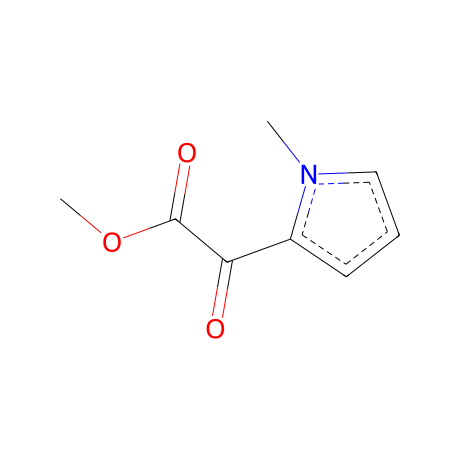 COC(=O)C(=O)c1cccn1C